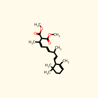 COC(=O)C(C(=O)OC)C(C)=C/C=C/C(C)/C=C/C1C(C)=CCCC1(C)C